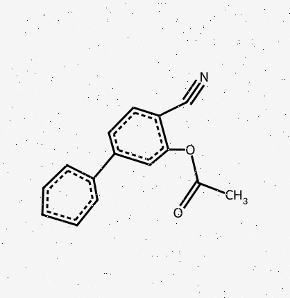 CC(=O)Oc1cc(-c2ccccc2)ccc1C#N